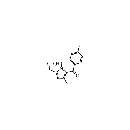 Cc1ccc(C(=O)c2c(C)cc(CC(=O)O)n2C)cc1